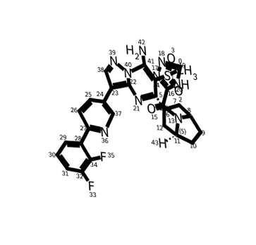 CS(=O)(=O)c1c([C@@H]2CC3CC[C@@H](C2)N3C(=O)c2nnc[nH]2)nc2c(-c3ccc(-c4cccc(F)c4F)nc3)cnn2c1N